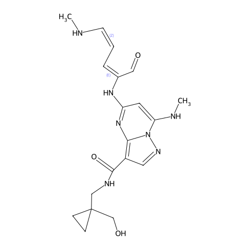 CN/C=C\C=C(/C=O)Nc1cc(NC)n2ncc(C(=O)NCC3(CO)CC3)c2n1